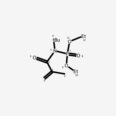 C=C(C)C(=O)N(C(C)(C)C)P(=O)(OCC)OCC